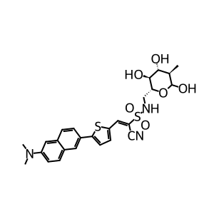 C[C@H]1C(O)O[C@H](CNS(=O)(=O)/C(C#N)=C/c2ccc(-c3ccc4cc(N(C)C)ccc4c3)s2)[C@@H](O)[C@@H]1O